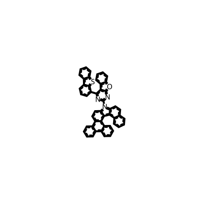 c1ccc2c(c1)ccc1c2c2c3c4ccccc4c4ccccc4c3ccc2n1-c1nc(-c2cccc3c2sc2ccccc23)c2c(n1)oc1ccccc12